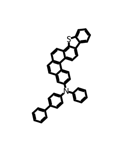 c1ccc(-c2ccc(N(c3ccccc3)c3ccc4c(ccc5ccc6c(ccc7c8ccccc8sc76)c54)c3)cc2)cc1